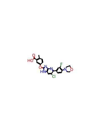 Cc1ccc(Oc2nc3nc(-c4ccc(N5CCOCC5)c(F)c4)c(Cl)cc3[nH]2)cc1C(=O)O